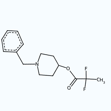 CC(F)(F)C(=O)OC1CCN(Cc2ccccc2)CC1